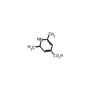 CC1=CC(C(=O)O)=CC(C)N1